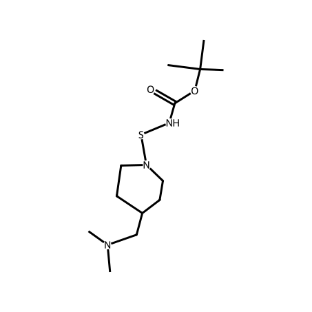 CN(C)CC1CCN(SNC(=O)OC(C)(C)C)CC1